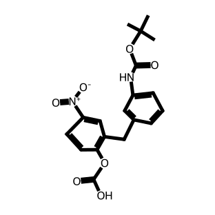 CC(C)(C)OC(=O)Nc1cccc(Cc2cc([N+](=O)[O-])ccc2OC(=O)O)c1